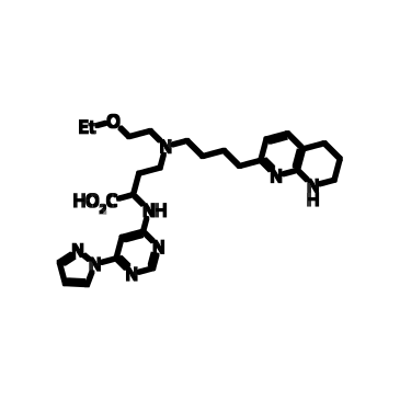 CCOCCN(CCCCc1ccc2c(n1)NCCC2)CCC(Nc1cc(-n2cccn2)ncn1)C(=O)O